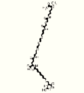 CNC(CCCCNC(=O)COCC(=O)NCCCOCCOCCOCCCNC(=O)CCC(NC(=O)CCCCCCCSCC(NC(=O)O)C(=O)O)C(=O)O)C(C)=O